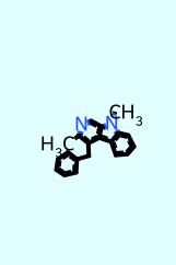 Cc1ncc2c(c1Cc1ccccc1)c1ccccc1n2C